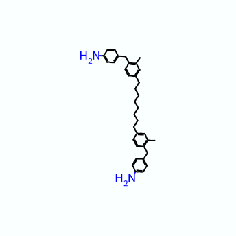 Cc1cc(CCCCCCCCc2ccc(Cc3ccc(N)cc3)c(C)c2)ccc1Cc1ccc(N)cc1